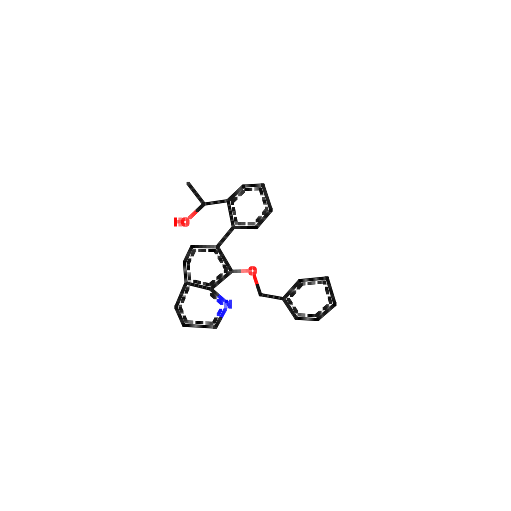 CC(O)c1ccccc1-c1ccc2cccnc2c1OCc1ccccc1